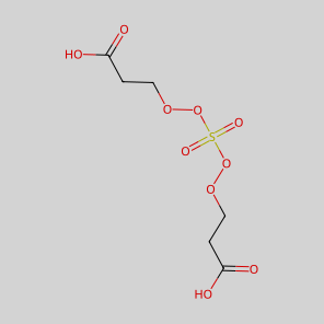 O=C(O)CCOOS(=O)(=O)OOCCC(=O)O